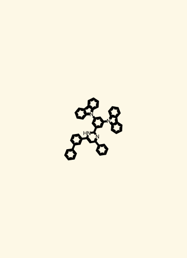 C1=C(c2cccc(-c3ccccc3)c2)NC(c2cc(-n3c4ccccc4c4ccccc43)cc(-n3c4ccccc4c4ccccc43)c2)N=C1c1ccccc1